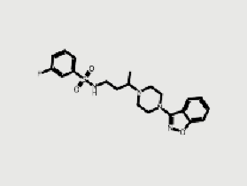 CC(CCNS(=O)(=O)c1cccc(F)c1)N1CCN(c2noc3ccccc23)CC1